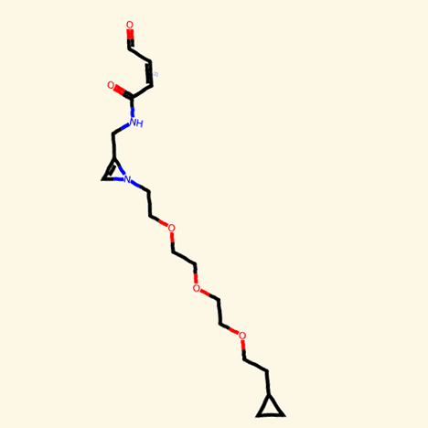 O=C/C=C\C(=O)NCC1=CN1CCOCCOCCOCCC1CC1